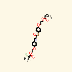 C=CC(=O)OCCCOc1ccc(SC(=O)/C=C/c2ccc(OCCOC(=O)C(=C)F)cc2)cc1